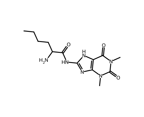 CCCCC(N)C(=O)Nc1nc2c([nH]1)c(=O)n(C)c(=O)n2C